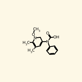 CON1CC(N(C(=O)O)c2ccccc2)=CC(C)=C1C